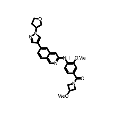 COc1cc(C(=O)N2CC(OC)C2)ccc1Nc1cc2cc(-c3cnn(C4CCOC4)c3)ccc2cn1